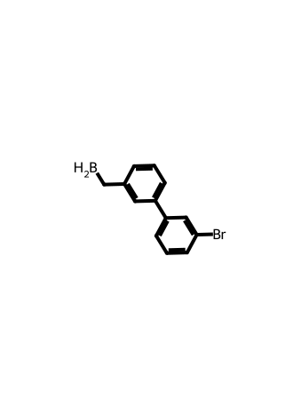 BCc1cccc(-c2cccc(Br)c2)c1